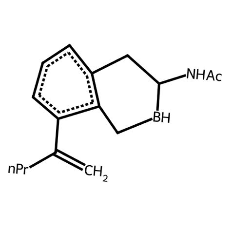 C=C(CCC)c1cccc2c1CBC(NC(C)=O)C2